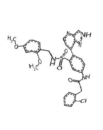 COc1ccc(CNS(=O)(=O)c2cc(NC(=O)Cc3ccccc3Cl)ccc2-c2ccnc3c[nH]nc23)c(OC)c1